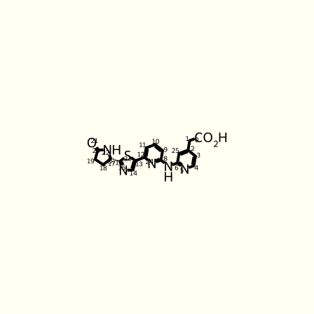 O=C(O)Cc1ccnc(Nc2cccc(-c3cnc([C@@H]4CCC(=O)N4)s3)n2)c1